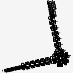 O=C([O-])C(=O)[O-].O=C([O-])C(=O)[O-].O=C([O-])C(=O)[O-].O=C([O-])C(=O)[O-].O=C([O-])C(=O)[O-].O=C([O-])C(=O)[O-].O=C([O-])C(=O)[O-].O=C([O-])C(=O)[O-].O=C([O-])C(=O)[O-].O=C([O-])C(=O)[O-].O=C([O-])C(=O)[O-].O=C([O-])C(=O)[O-].O=P([O-])([O-])O[C@H]1[C@H](OP(=O)([O-])[O-])[C@@H](OP(=O)([O-])[O-])[C@H](OP(=O)([O-])[O-])[C@@H](OP(=O)([O-])[O-])[C@H]1OP(=O)([O-])[O-].[Na+].[Na+].[Na+].[Na+].[Na+].[Na+].[Na+].[Na+].[Na+].[Na+].[Na+].[Na+].[Sn+2].[Sn+2].[Sn+2].[Sn+2].[Sn+2].[Sn+2].[Sn+2].[Sn+2].[Sn+2].[Sn+2].[Sn+2].[Sn+2]